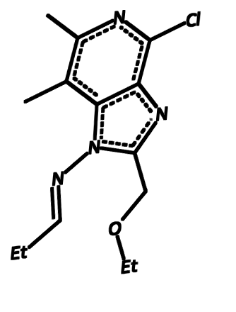 [CH2]C/C=N/n1c(COCC)nc2c(Cl)nc(C)c(C)c21